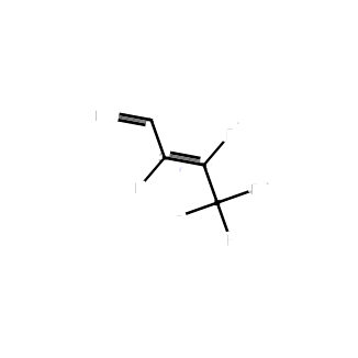 C=C/C(F)=C(\F)C(F)(F)F